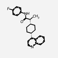 CC(C(=O)Nc1ccc(F)cc1)[C@H]1CC[C@@H](c2ccnc3ccccc32)CC1